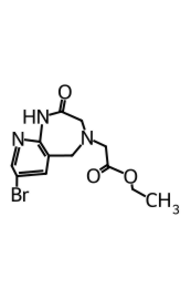 CCOC(=O)CN1CC(=O)Nc2ncc(Br)cc2C1